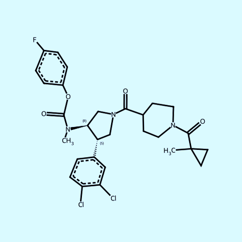 CN(C(=O)Oc1ccc(F)cc1)[C@H]1CN(C(=O)C2CCN(C(=O)C3(C)CC3)CC2)C[C@@H]1c1ccc(Cl)c(Cl)c1